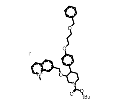 C[n+]1cccc2ccc(COC3CN(C(=O)OC(C)(C)C)CCC3c3ccc(OCCCOCc4ccccc4)cc3)cc21.[I-]